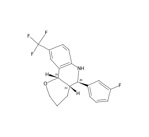 Fc1cccc([C@@H]2Nc3ccc(C(F)(F)F)cc3[C@H]3OCCC[C@H]32)c1